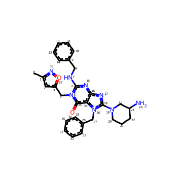 Cc1cc(Cn2c(NCc3ccccc3)nc3nc(N4CCCC(N)C4)n(Cc4ccccc4)c3c2=O)on1